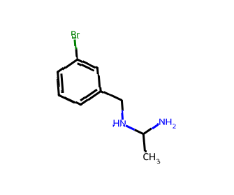 CC(N)NCc1cccc(Br)c1